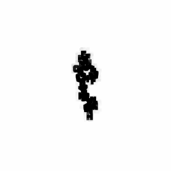 O=C(c1cc(CN2CCC(F)(F)C2)nc(C(F)(F)F)n1)N1CCC(N2CC(n3cc(-c4ncnc5[nH]ccc45)cn3)C2)CC1